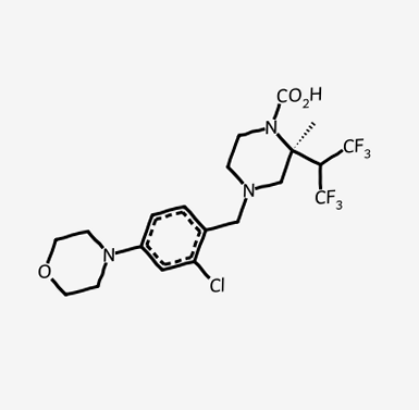 C[C@]1(C(C(F)(F)F)C(F)(F)F)CN(Cc2ccc(N3CCOCC3)cc2Cl)CCN1C(=O)O